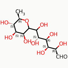 C[C@H]1OC(C(O)[C@@H](O)[C@@H](O)[C@H](O)[C@@H](O)C=O)[C@@H](O)[C@@H](O)[C@@H]1O